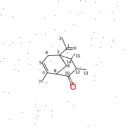 C=C(C)C12CC=C(C)C(C1)C(=O)C(C)C2C